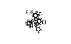 O=C(NC1CCCC1)NC(Cc1ccccc1)(c1ccc(Cl)cc1)c1cc(F)cc(C(F)(F)F)c1